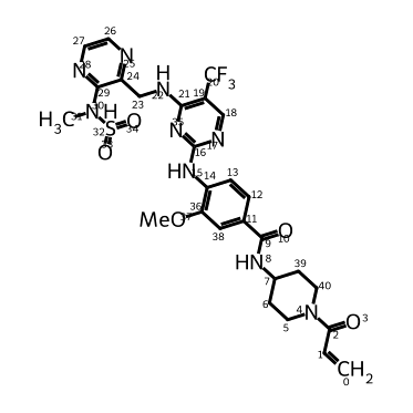 C=CC(=O)N1CCC(NC(=O)c2ccc(Nc3ncc(C(F)(F)F)c(NCc4nccnc4N(C)[SH](=O)=O)n3)c(OC)c2)CC1